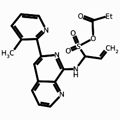 C=CC(Nc1nc(-c2ncccc2C)cc2cccnc12)S(=O)(=O)OC(=O)CC